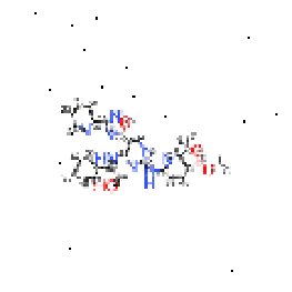 CCOB1OC(C)(C)c2nc(Nc3ncc(-c4nc(-c5ccccn5)no4)c(N[C@H](CO)c4ccccc4)n3)ccc21